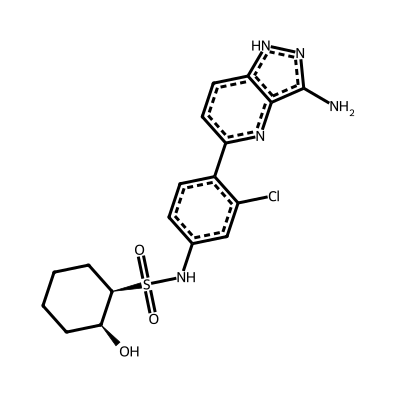 Nc1n[nH]c2ccc(-c3ccc(NS(=O)(=O)[C@@H]4CCCC[C@@H]4O)cc3Cl)nc12